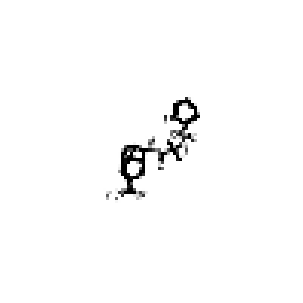 CC(C)(NS(=O)(=O)c1ccccc1F)C(=O)NC1C2CC3CC1CC(C(=N)N)(C3)C2